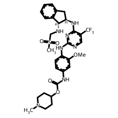 COc1cc(NC(=O)OC2CCN(C)CC2)ccc1Nc1ncc(C(F)(F)F)c(N[C@@H]2Cc3ccccc3[C@H]2NCS(C)(=O)=O)n1